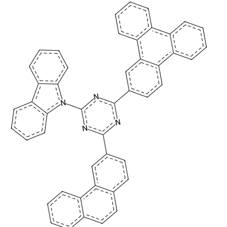 c1ccc2c(c1)ccc1ccc(-c3nc(-c4ccc5c6ccccc6c6ccccc6c5c4)nc(-n4c5ccccc5c5ccccc54)n3)cc12